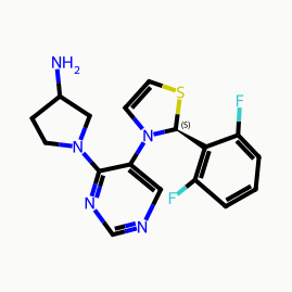 NC1CCN(c2ncncc2N2C=CS[C@H]2c2c(F)cccc2F)C1